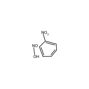 O=NO.O=[N+]([O-])c1ccccc1